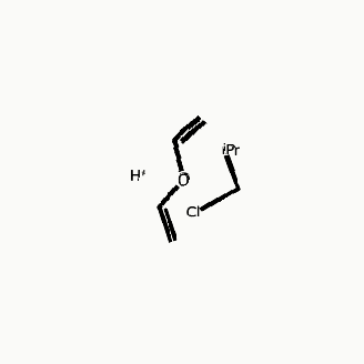 C=COC=C.CC(C)CCl.[H+]